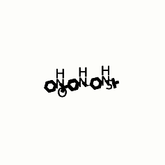 CC(C)(C)SN[C@H]1CC[C@H](CNc2ccc(C(=O)NC3CCCCC3)cc2)CC1